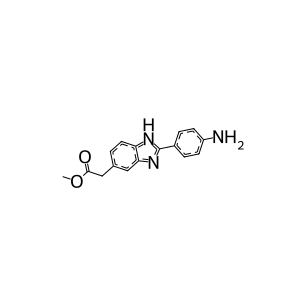 COC(=O)Cc1ccc2[nH]c(-c3ccc(N)cc3)nc2c1